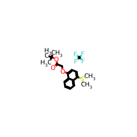 C[S+](C)c1ccc(OCC(=O)OC(C)(C)C)c2ccccc12.FC(F)(F)F